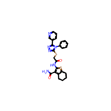 NC(=O)c1c(NC(=O)CSc2nnc(-c3cccnc3)n2-c2ccccc2)sc2c1CCCC2